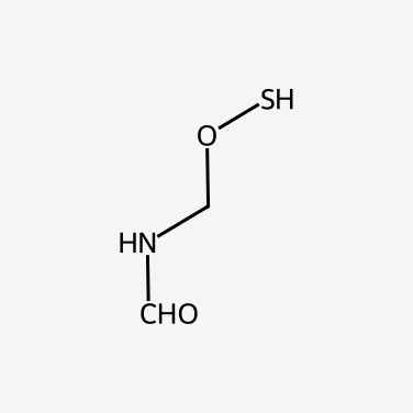 O=CNCOS